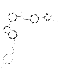 CN1CCN(CCOc2ccn3c(-c4cc(NCc5ccc(-c6cnn(C)c6)cc5)ncn4)cnc3c2)CC1